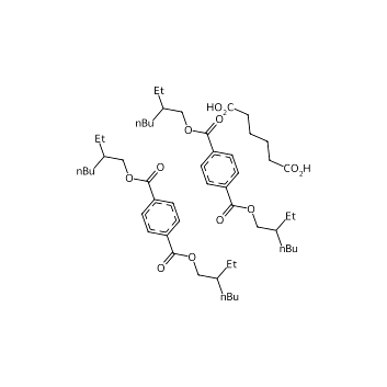 CCCCC(CC)COC(=O)c1ccc(C(=O)OCC(CC)CCCC)cc1.CCCCC(CC)COC(=O)c1ccc(C(=O)OCC(CC)CCCC)cc1.O=C(O)CCCCC(=O)O